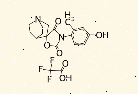 Cc1cc(O)ccc1N1C(=O)OC2(CN3CCC2CC3)C1=O.O=C(O)C(F)(F)F